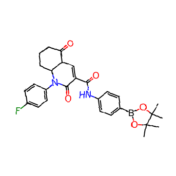 CC1(C)OB(c2ccc(NC(=O)C3=CC4C(=O)CCCC4N(c4ccc(F)cc4)C3=O)cc2)OC1(C)C